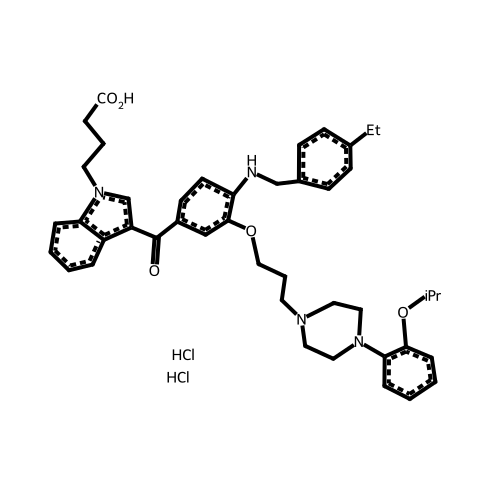 CCc1ccc(CNc2ccc(C(=O)c3cn(CCCC(=O)O)c4ccccc34)cc2OCCCN2CCN(c3ccccc3OC(C)C)CC2)cc1.Cl.Cl